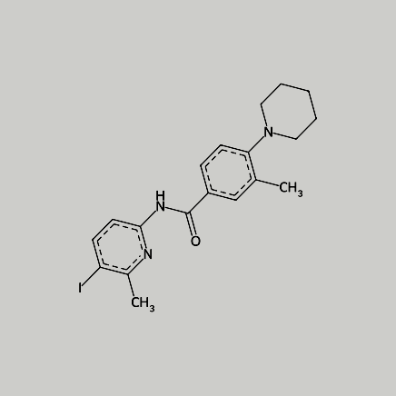 Cc1cc(C(=O)Nc2ccc(I)c(C)n2)ccc1N1CCCCC1